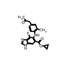 CC(=O)Cc1ccc(Nc2c(C(=O)OC3CC3)cc3[nH]cnc3c2F)c(C)c1